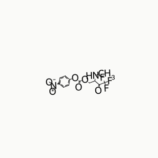 CNC(COC(=O)Oc1ccc([N+](=O)[O-])cc1)C(=O)C(F)(F)F